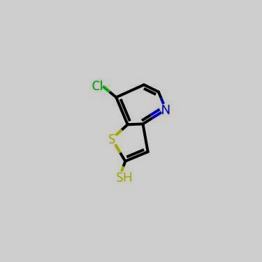 Sc1cc2nccc(Cl)c2s1